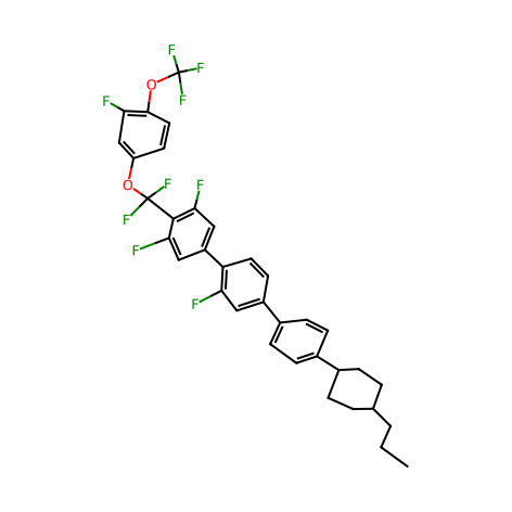 CCCC1CCC(c2ccc(-c3ccc(-c4cc(F)c(C(F)(F)Oc5ccc(OC(F)(F)F)c(F)c5)c(F)c4)c(F)c3)cc2)CC1